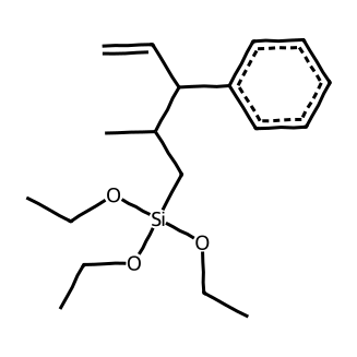 C=CC(c1ccccc1)C(C)C[Si](OCC)(OCC)OCC